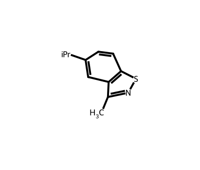 Cc1nsc2ccc(C(C)C)cc12